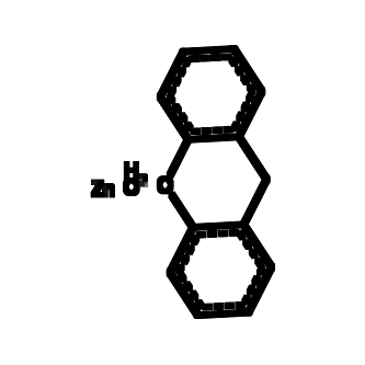 O.[Zn].c1ccc2c(c1)Cc1ccccc1O2